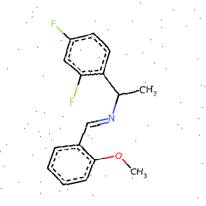 COc1ccccc1C=NC(C)c1ccc(F)cc1F